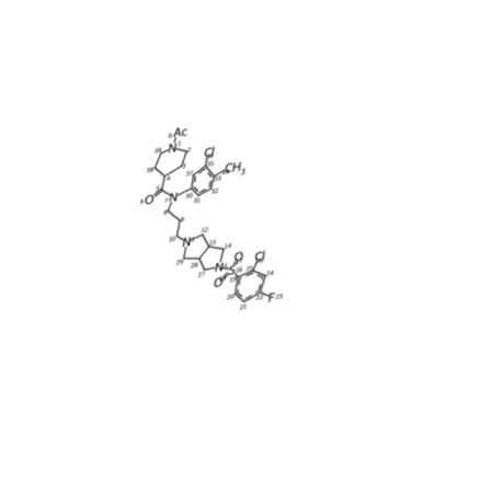 CC(=O)N1CCC(C(=O)N(CCCN2CC3CN(S(=O)(=O)c4ccc(F)cc4Cl)CC3C2)c2ccc(C)c(Cl)c2)CC1